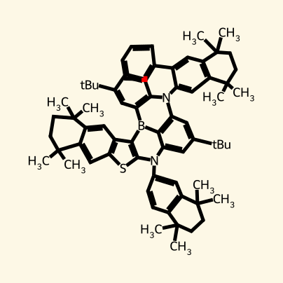 CC(C)(C)c1ccc2c(c1)B1c3c(cc(C(C)(C)C)cc3N(c3ccc4c(c3)C(C)(C)CCC4(C)C)c3sc4cc5c(cc4c31)C(C)(C)CCC5(C)C)N2c1cc2c(cc1-c1ccccc1)C(C)(C)CCC2(C)C